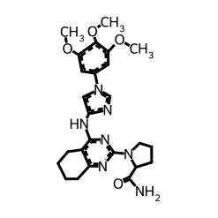 COc1cc(-n2cnc(Nc3nc(N4CCCC4C(N)=O)nc4c3CCCC4)c2)cc(OC)c1OC